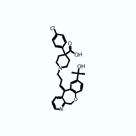 CC(C)(O)c1ccc2c(c1)C(=CCCN1CCC(C(=O)O)(c3ccc(Cl)cc3)CC1)c1cccnc1CO2